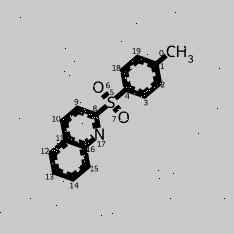 Cc1ccc(S(=O)(=O)c2ccc3ccccc3n2)cc1